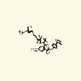 Cc1ncsc1-c1ccc(CNC(=O)[C@@H]2C[C@@H](O)CN2C(=O)[C@@H](NC(=O)CCCCCC(N)=O)C(C)(C)C)cc1